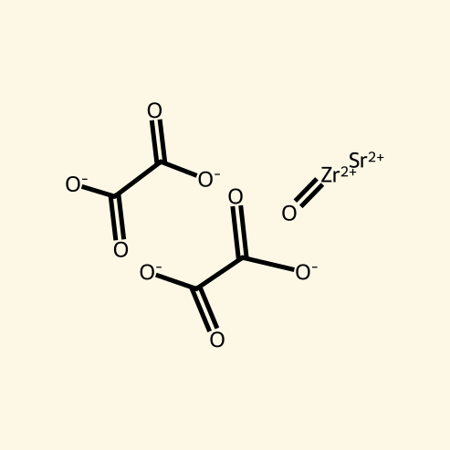 O=C([O-])C(=O)[O-].O=C([O-])C(=O)[O-].[O]=[Zr+2].[Sr+2]